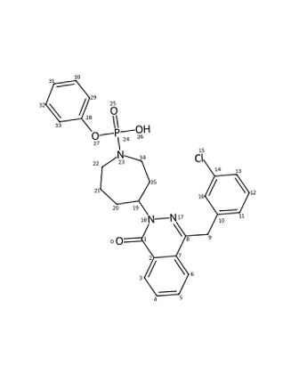 O=c1c2ccccc2c(Cc2cccc(Cl)c2)nn1C1CCCN(P(=O)(O)Oc2ccccc2)CC1